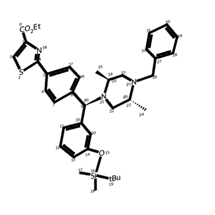 CCOC(=O)c1csc(-c2ccc([C@H](c3cccc(O[Si](C)(C)C(C)(C)C)c3)N3C[C@@H](C)N(Cc4ccccc4)C[C@@H]3C)cc2)n1